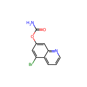 NC(=O)Oc1cc(Br)c2cccnc2c1